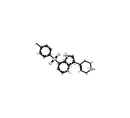 Cc1ccc(S(=O)(=O)c2ccnc3c(C4=CCNCC4)c[nH]c23)cc1